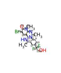 Cc1nc(NC(C)c2cccc(C(F)(F)CO)c2)c2cc(Br)c(=O)n(C)c2n1